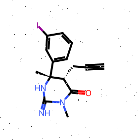 C#CC[C@@H]1C(=O)N(C)C(=N)N[C@]1(C)c1cccc(I)c1